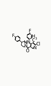 Cc1c(Cl)ncc(C(=O)N2CCC(c3ccc(F)cc3)CC2)c1Nc1ccc(F)cc1